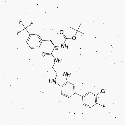 CC(C)(C)OC(=O)N[C@H](Cc1cccc(C(F)(F)F)c1)C(=O)NCC1Nc2ccc(-c3ccc(F)c(Cl)c3)cc2N1